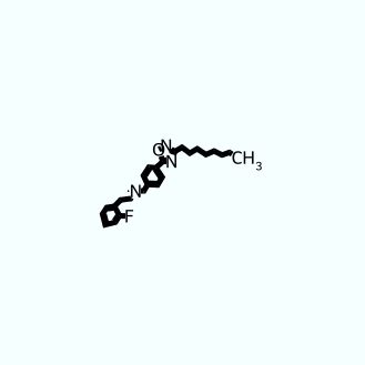 CCCCCCCCc1noc(-c2ccc(C[N]CCc3ccccc3F)cc2)n1